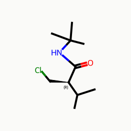 CC(C)[C@@H](CCl)C(=O)NC(C)(C)C